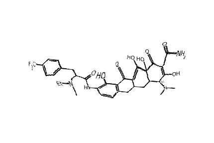 CCN(C)C(Cc1ccc(C(F)(F)F)cc1)C(=O)Nc1ccc2c(c1O)C(=O)C1=C(O)C3(O)C(=O)C(C(N)=O)=C(O)[C@@H](N(C)C)C3CC1C2